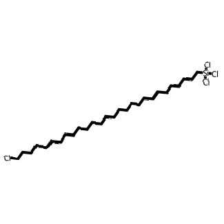 ClCCCCCCCCCCCCCCCCCCCCCCCCCCCC[Si](Cl)(Cl)Cl